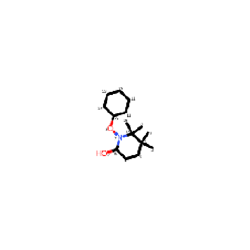 CC1(C)CCC(O)N(OC2CCCCC2)C1(C)C